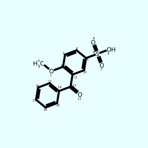 COc1ccc(S(=O)(=O)O)cc1C(=O)c1ccccc1